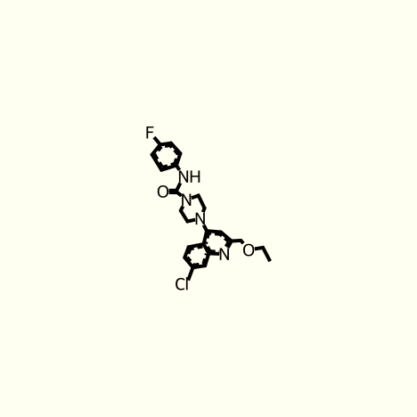 CCOCc1cc(N2CCN(C(=O)Nc3ccc(F)cc3)CC2)c2ccc(Cl)cc2n1